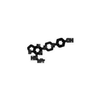 CCCNc1nc(N2CCN(c3ccc(O)cc3)CC2)nc2c1SCC2